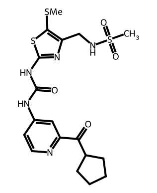 CSc1sc(NC(=O)Nc2ccnc(C(=O)C3CCCC3)c2)nc1CNS(C)(=O)=O